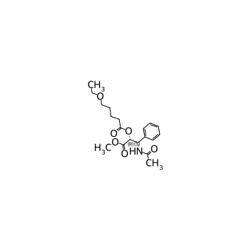 CCOCCCCC(=O)O[C@@H](C(=O)OC)[C@@H](NC(C)=O)c1ccccc1